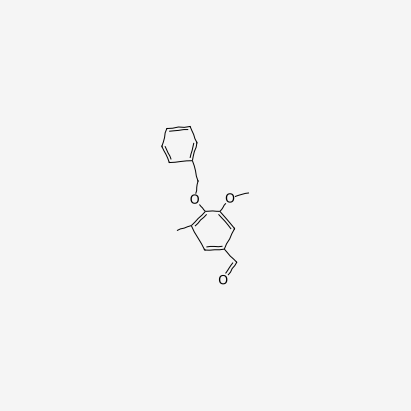 COc1cc(C=O)cc(C)c1OCc1ccccc1